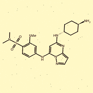 CSc1cc(Nc2cc(N[C@H]3CC[C@H](N)CC3)nc3ccnn23)ccc1S(=O)(=O)N(C)C